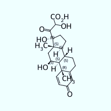 C[C@]12C=CC(=O)C=C1CC[C@@H]1[C@@H]2[C@@H](O)C[C@@]2(C)[C@H]1CC[C@]2(O)C(=O)C(O)C(=O)O